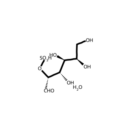 O.O=C[C@H](OS(=O)(=O)O)[C@@H](O)[C@@H](O)[C@H](O)CO